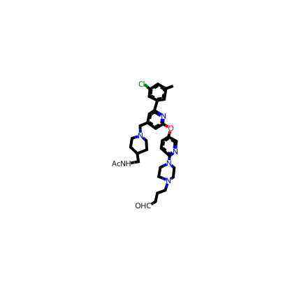 CC(=O)NCC1CCN(Cc2cc(Oc3ccc(N4CCN(CCCC=O)CC4)nc3)nc(-c3cc(C)cc(Cl)c3)c2)CC1